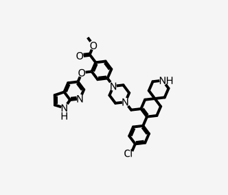 COC(=O)c1ccc(N2CCN(CC3=C(c4ccc(Cl)cc4)CCC4(CCNCC4)C3)CC2)cc1Oc1cnc2[nH]ccc2c1